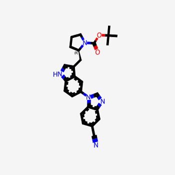 CC(C)(C)OC(=O)N1CCC[C@@H]1Cc1c[nH]c2ccc(-n3cnc4cc(C#N)ccc43)cc12